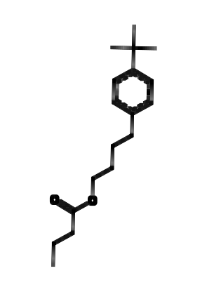 CCCC(=O)OCCCCc1ccc(C(C)(C)C)cc1